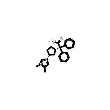 Cc1cn([C@@H]2CC[C@H](C(C(N)=O)(c3ccccc3)c3ccccc3)C2)c[n+]1C.[I-]